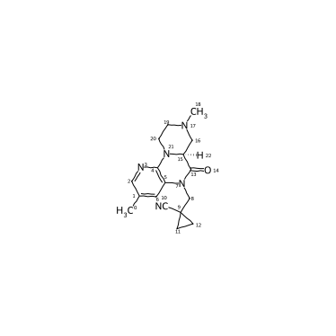 Cc1cnc2c(c1)N(CC1(C#N)CC1)C(=O)[C@@H]1CN(C)CCN21